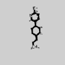 CCCC1CCC(c2ccc(F)nc2)CC1